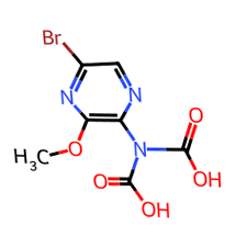 COc1nc(Br)cnc1N(C(=O)O)C(=O)O